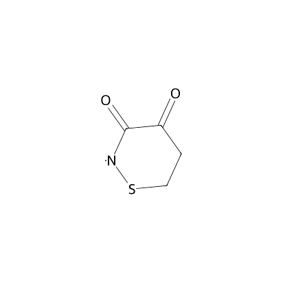 O=C1CCS[N]C1=O